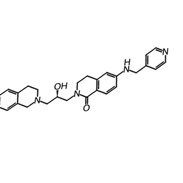 O=C1c2ccc(NCc3ccncc3)cc2CCN1C[C@H](O)CN1CCc2ccccc2C1